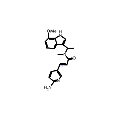 COc1cccc2c(C(C)N(C)C(=O)/C=C/c3ccc(N)nc3)c[nH]c12